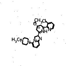 CO[C@@H]1C[C@@H](c2ncccc2Cl)N[C@@H](C2CN3C(N4CCN(C)CC4)=CC=CC3=N2)C1